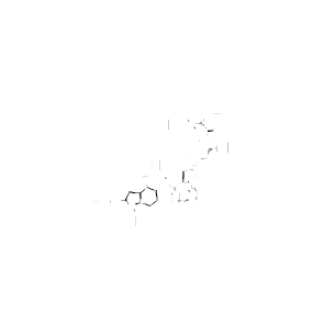 CC1=C2C(Oc3ccc4[nH]c(C)cc4c3F)=NC=NN2CC1OC[C@@H](C)OC(=O)[C@H](C)N